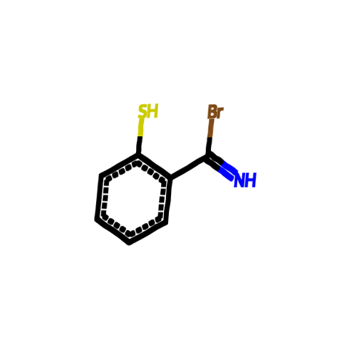 N=C(Br)c1ccccc1S